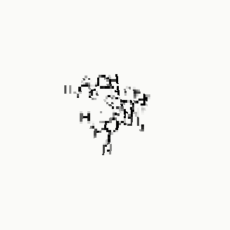 Cc1cc(C#N)c(F)c(C)c1Oc1nnc(C(F)(F)F)c(C)c1C(=O)Nc1cccc(S(C)(=O)=O)c1